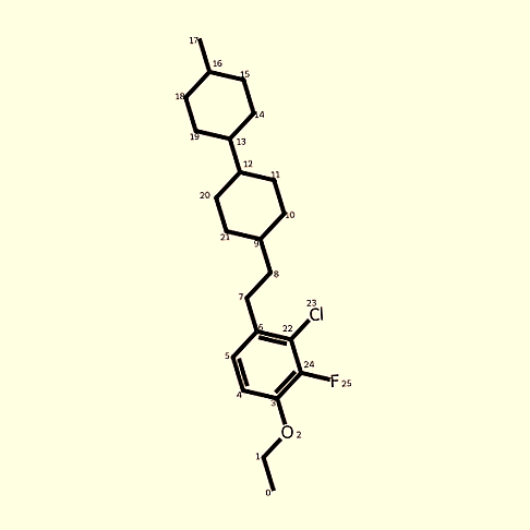 CCOc1ccc(CCC2CCC(C3CCC(C)CC3)CC2)c(Cl)c1F